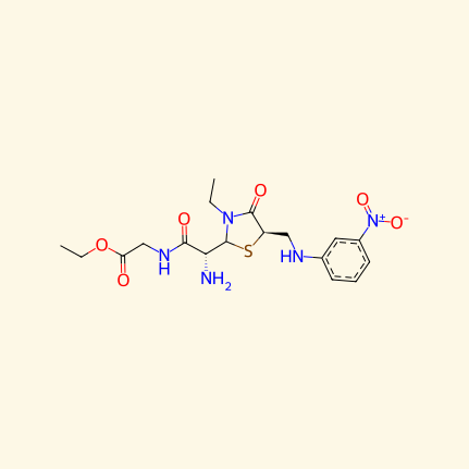 CCOC(=O)CNC(=O)[C@@H](N)C1S[C@H](CNc2cccc([N+](=O)[O-])c2)C(=O)N1CC